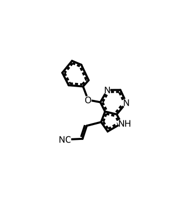 N#C/C=C/c1c[nH]c2ncnc(Oc3ccccc3)c12